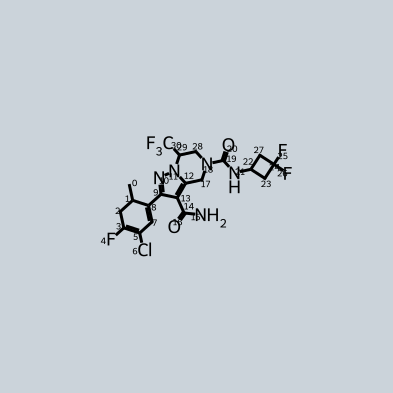 CC1CC(F)=C(Cl)C=C1c1nn2c(c1C(N)=O)CN(C(=O)NC1CC(F)(F)C1)CC2C(F)(F)F